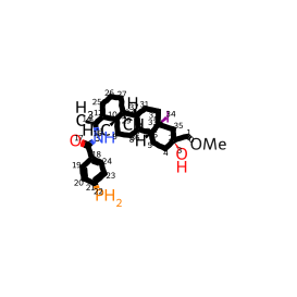 COC[C@@]1(O)CC[C@@H]2C3CC[C@]4(C)C([C@H](C)NC(=O)c5ccc(P)cc5)CCC[C@@]4(C)[C@@H]3CC[C@]2(I)C1